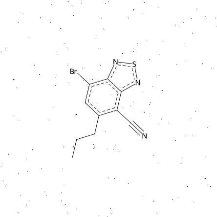 CCCc1cc(Br)c2nsnc2c1C#N